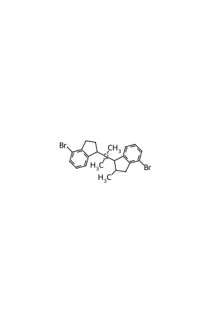 CC1Cc2c(Br)cccc2C1[Si](C)(C)C1CCc2c(Br)cccc21